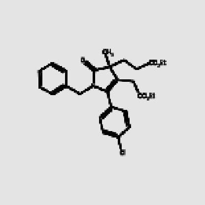 CCOC(=O)CCC1(C)C(=O)N(Cc2ccccc2)C(c2ccc(Cl)cc2)=C1CC(=O)OCC